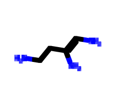 NC=C(N)CCN